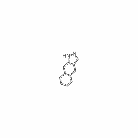 c1ccc2cc3[nH]ncc3cc2c1